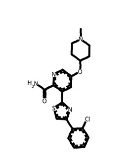 CN1CCC(Oc2cnc(C(N)=O)c(-c3nc(-c4ccccc4Cl)cs3)c2)CC1